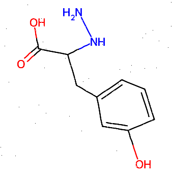 NNC(Cc1cccc(O)c1)C(=O)O